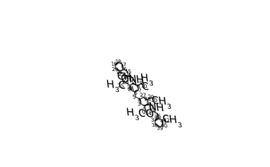 CCc1cc(Cc2cc(CC)c(NC(=O)Cc3ccccc3C)c(CC)c2)cc(CC)c1NC(=O)Cc1ccccc1C